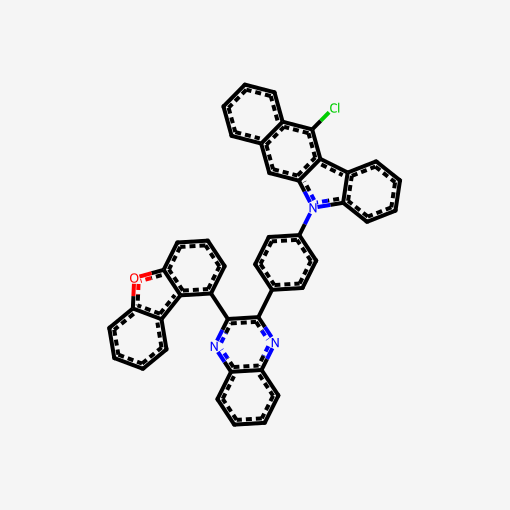 Clc1c2ccccc2cc2c1c1ccccc1n2-c1ccc(-c2nc3ccccc3nc2-c2cccc3oc4ccccc4c23)cc1